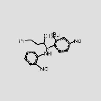 CC(C)CCC(C)N(Nc1ccccc1N=O)c1ccc(N=O)cc1C(C)(C)C